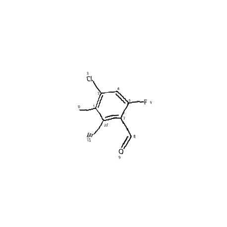 Cc1c(Cl)cc(F)c(C=O)c1Br